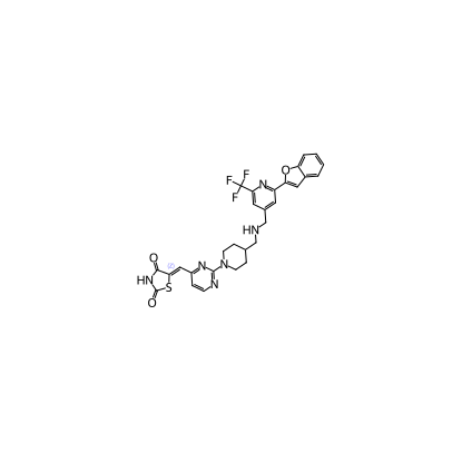 O=C1NC(=O)/C(=C/c2ccnc(N3CCC(CNCc4cc(-c5cc6ccccc6o5)nc(C(F)(F)F)c4)CC3)n2)S1